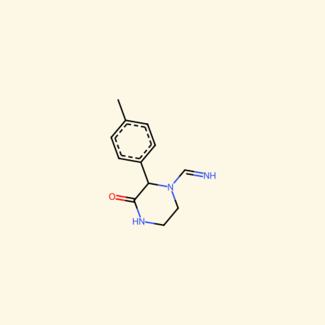 Cc1ccc(C2C(=O)NCCN2C=N)cc1